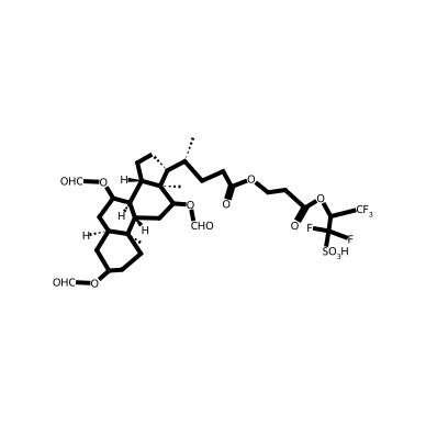 C[C@H](CCC(=O)OCCC(=O)OC(C(F)(F)F)C(F)(F)S(=O)(=O)O)[C@H]1CC[C@H]2[C@@H]3C(OC=O)C[C@@H]4CC(OC=O)CC[C@]4(C)[C@H]3CC(OC=O)[C@]12C